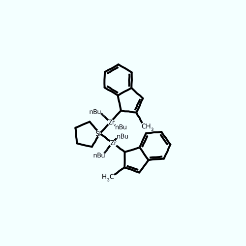 CCC[CH2][Zr]([CH2]CCC)([CH]1C(C)=Cc2ccccc21)[Si]1([Zr]([CH2]CCC)([CH2]CCC)[CH]2C(C)=Cc3ccccc32)CCCC1